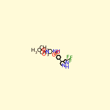 CC(C)(C)OC(=O)N1CCC(NS(=O)(=O)c2ccc(-c3ccnc4[nH]c(C(F)(F)F)cc34)cc2)CC1